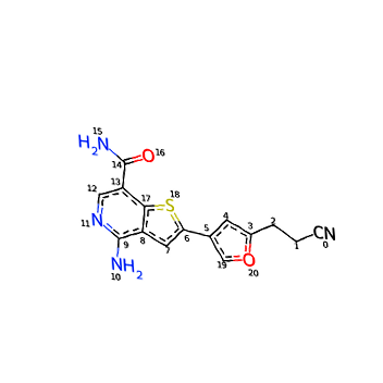 N#CCCc1cc(-c2cc3c(N)ncc(C(N)=O)c3s2)co1